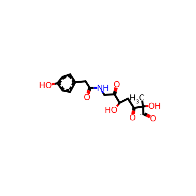 CC(O)([C]=O)C(=O)CC(O)C(=O)CNC(=O)Cc1ccc(O)cc1